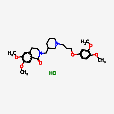 COc1ccc(OCCCN2CCCC(CN3CCc4cc(OC)c(OC)cc4C3=O)C2)cc1OC.Cl